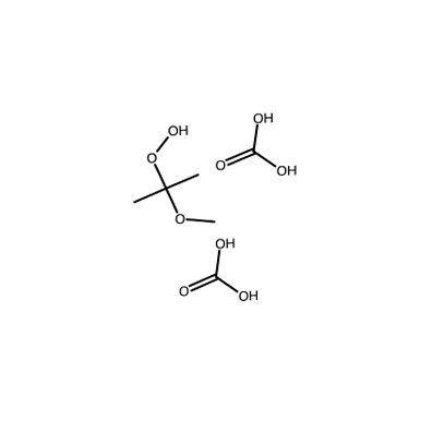 COC(C)(C)OO.O=C(O)O.O=C(O)O